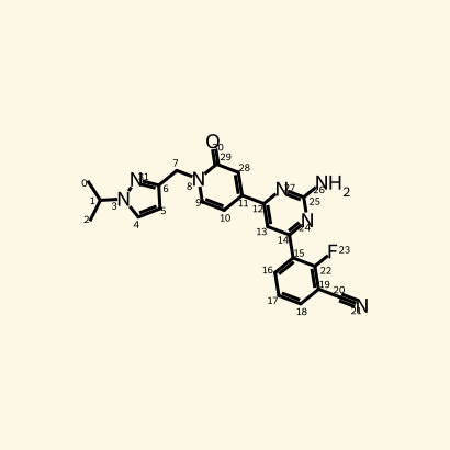 CC(C)n1ccc(Cn2ccc(-c3cc(-c4cccc(C#N)c4F)nc(N)n3)cc2=O)n1